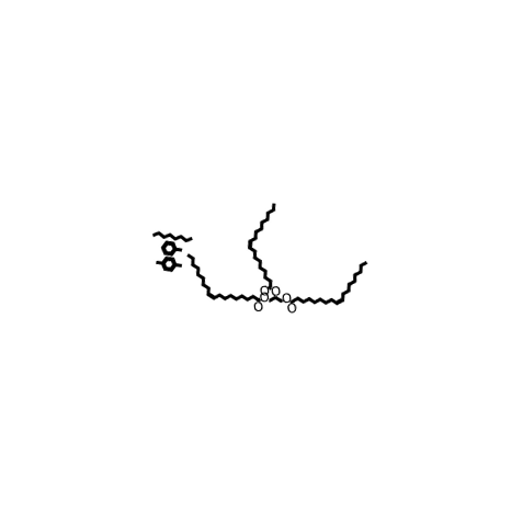 CCCCCCCC.CCCCCCCC/C=C\CCCCCCCC(=O)OCC(COC(=O)CCCCCCC/C=C\CCCCCCCC)OC(=O)CCCCCCC/C=C\CCCCCCCC.Cc1ccc(C)cc1.Cc1ccccc1